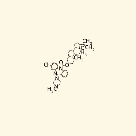 C=C(C)C1CCC2C3CC=C4CC(OC(=O)N5c6ccc(Cl)cc6N=C(N6CCN(C)CC6)c6ccccc65)CCC4(C)C3CCC12C